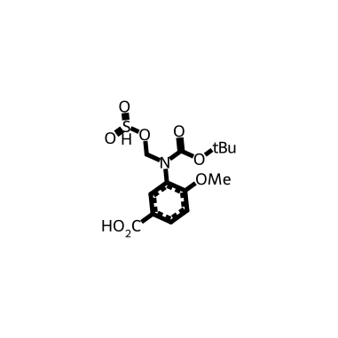 COc1ccc(C(=O)O)cc1N(CO[SH](=O)=O)C(=O)OC(C)(C)C